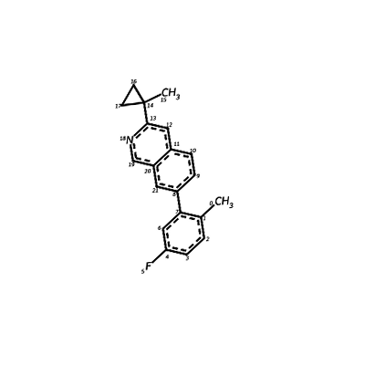 Cc1ccc(F)cc1-c1ccc2cc(C3(C)CC3)ncc2c1